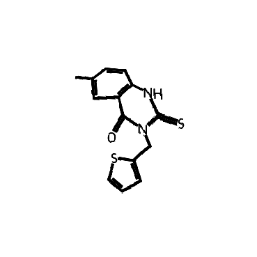 Cc1ccc2[nH]c(=S)n(Cc3cccs3)c(=O)c2c1